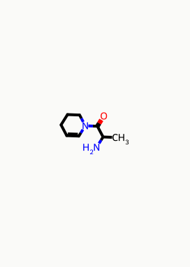 CC(N)C(=O)N1C=CCCC1